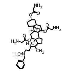 CC(CCCN(C)Cc1ccccc1)C1CCC2C3[C@H](OC(=O)CN)CC4C[C@H](OC(=O)CN)CCC4(C)[C@H]3C[C@H](OC(=O)CN)C12C